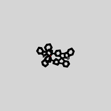 c1ccc(N(c2ccccc2)c2ccc3c(c2)C2(c4ccccc4-c4ccc(N(c5ccccc5)c5cccc6c5sc5ccccc56)cc42)c2oc4ccccc4c2-3)cc1